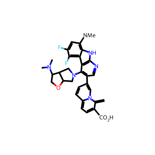 C=C1C(C(=O)O)=CC=C2C=CC(c3cnc4[nH]c5c(NC)cc(F)c(F)c5c4c3N3CC4OCC(N(C)C)C4C3)=CN12